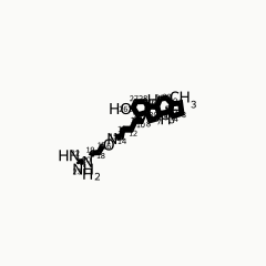 C[C@@]12CCC[C@H]1[C@@H]1CC[C@]3(/C=C/C=C/C=N/OCCCNC(=N)N)C[C@@H](O)CC[C@]3(C)[C@H]1CC2